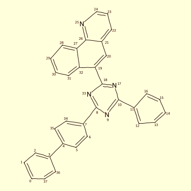 c1ccc(-c2ccc(-c3nc(-c4ccccc4)nc(-c4cc5cccnc5c5ccccc45)n3)cc2)cc1